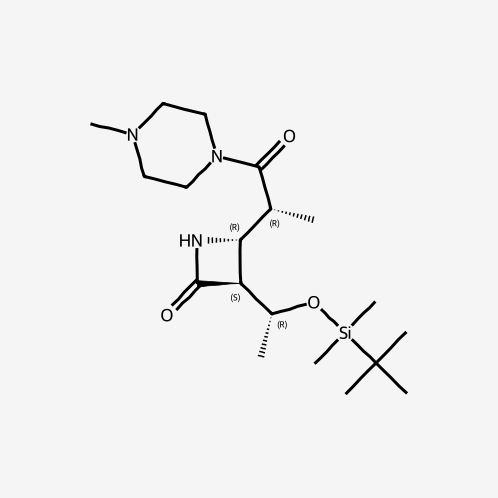 C[C@@H](O[Si](C)(C)C(C)(C)C)[C@H]1C(=O)N[C@@H]1[C@@H](C)C(=O)N1CCN(C)CC1